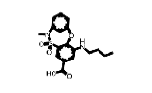 CCCCNc1cc(C(=O)O)cc2c1Oc1cccc(c1)N(C)S2(=O)=O